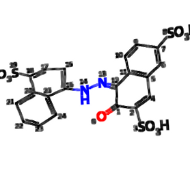 O=C1C(S(=O)(=O)O)=Cc2cc(S(=O)(=O)O)ccc2/C1=N/Nc1ccc(S(=O)(=O)O)c2ccccc12